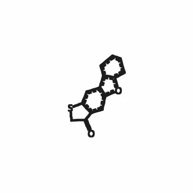 O=C1CSc2cc3c(cc21)oc1ccccc13